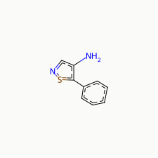 Nc1cnsc1-c1ccccc1